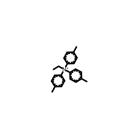 CC[N+](c1ccc(C)cc1)(c1ccc(C)cc1)c1ccc(C)cc1